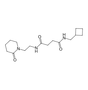 O=C(CCC(=O)NCC1CCC1)NCCN1CCCCC1=O